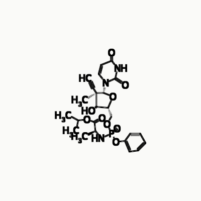 C#C[C@]1(C)[C@H](O)[C@@H](COP(=O)(N[C@@H](C)C(=O)OC(C)C)Oc2ccccc2)O[C@H]1n1ccc(=O)[nH]c1=O